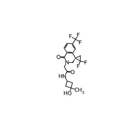 CC1(O)CC(NC(=O)CN2C[C@]3(CC3(F)F)c3cc(C(F)(F)F)ccc3C2=O)C1